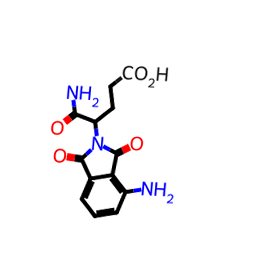 NC(=O)C(CCC(=O)O)N1C(=O)c2cccc(N)c2C1=O